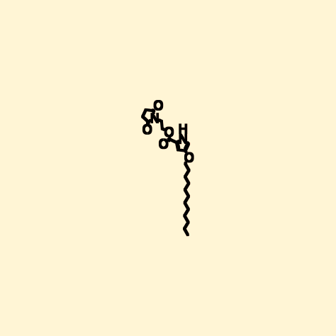 CCCCCCCCCCCCOc1c[nH]c(C(=O)OCCN2C(=O)CCC2=O)c1